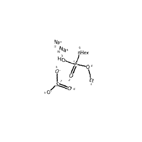 CCCCCCP(=O)(O)OCC.O=S([O-])[O-].[Na+].[Na+]